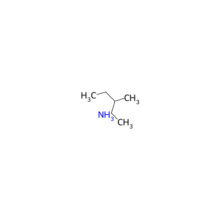 CCC(C)CC.N